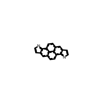 C1=Cc2cc3ccc4c5c(cc6ccc(c2=N1)c3c64)C=CN=5